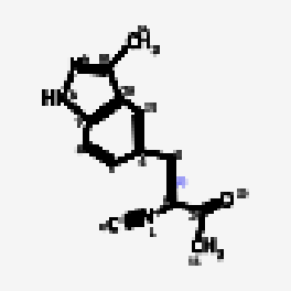 [C-]#[N+]/C(=C\c1ccc2[nH]nc(C)c2c1)C(C)=O